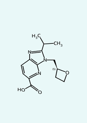 CC(C)c1nc2ccc(C(=O)O)nc2n1C[C@@H]1CCO1